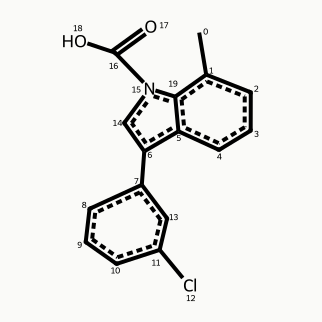 Cc1cccc2c(-c3cccc(Cl)c3)cn(C(=O)O)c12